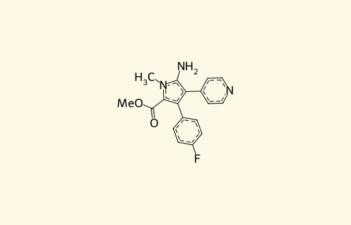 COC(=O)c1c(-c2ccc(F)cc2)c(-c2ccncc2)c(N)n1C